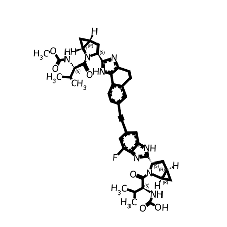 COC(=O)N[C@H](C(=O)N1[C@@H]2C[C@@H]2C[C@H]1c1nc2c([nH]1)-c1ccc(C#Cc3cc(F)c4nc([C@@H]5C[C@H]6C[C@H]6N5C(=O)[C@@H](NC(=O)O)C(C)C)[nH]c4c3)cc1CC2)C(C)C